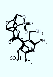 BCc1c(B)cc(B)cc1C(=O)OC1C2OS(=O)(=O)C3C2OC1C3C(=O)OC(CS(=O)(=O)O)C(F)(F)F